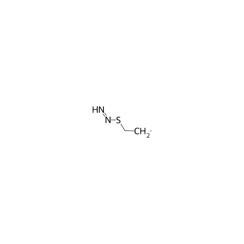 [CH2]CSN=N